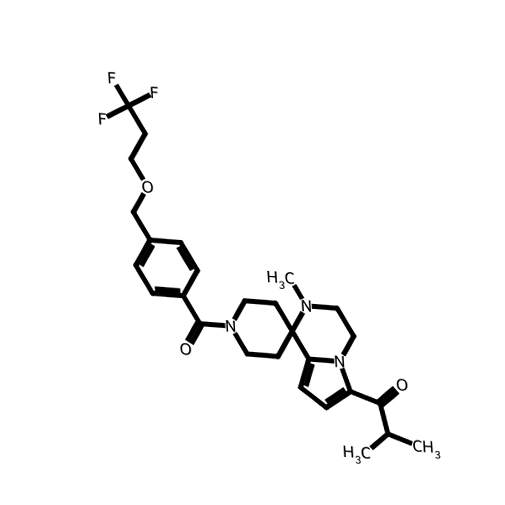 CC(C)C(=O)c1ccc2n1CCN(C)C21CCN(C(=O)c2ccc(COCCC(F)(F)F)cc2)CC1